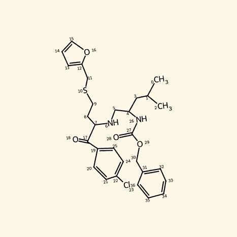 CC(C)CC(CNC(CCSCc1ccco1)C(=O)c1ccc(Cl)cc1)NC(=O)OCc1ccccc1